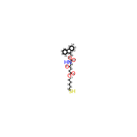 O=C(CCC(=O)OCCCCCCS)CNC(=O)OCC1c2ccccc2-c2ccccc21